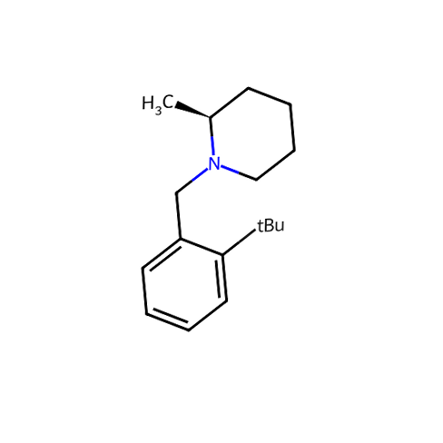 C[C@H]1CCCCN1Cc1ccccc1C(C)(C)C